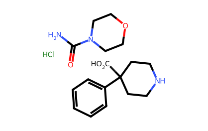 Cl.NC(=O)N1CCOCC1.O=C(O)C1(c2ccccc2)CCNCC1